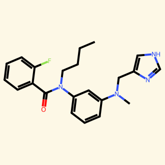 CCCCN(C(=O)c1ccccc1F)c1cccc(N(C)Cc2c[nH]cn2)c1